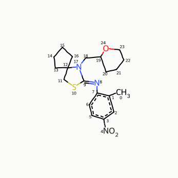 Cc1cc([N+](=O)[O-])ccc1N=C1SCC2(CCCC2)N1CC1CCCCO1